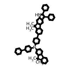 CC1(C)c2ccccc2-c2ccc(N(c3ccc(-c4ccccc4)cc3)c3ccc(-c4ccc5c(c4)C(C)(C)c4cc6[nH]c(-c7ccccc7)c(-c7ccccc7)c6cc4-5)cc3)cc21